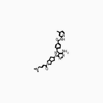 Cc1ccnc(NC(=O)c2ccc(-c3nn(C4CC5CN(C(=O)C=CCN(C)C)CC5C4)c4ncnc(N)c34)cc2)c1